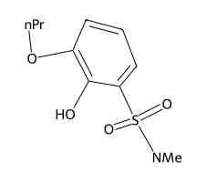 [CH2]CCOc1cccc(S(=O)(=O)NC)c1O